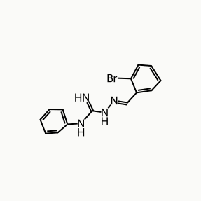 N=C(NN=Cc1ccccc1Br)Nc1ccccc1